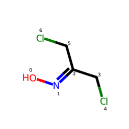 ON=C(CCl)CCl